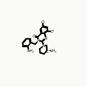 Nc1ccccc1Cn1c(N2CCC[C@@H](N)C2)nc2c(Cl)cc(Cl)cc2c1=O